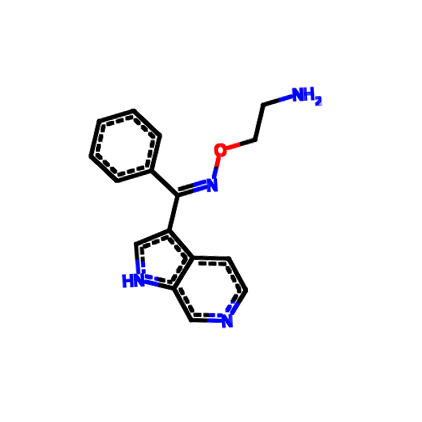 NCCON=C(c1ccccc1)c1c[nH]c2cnccc12